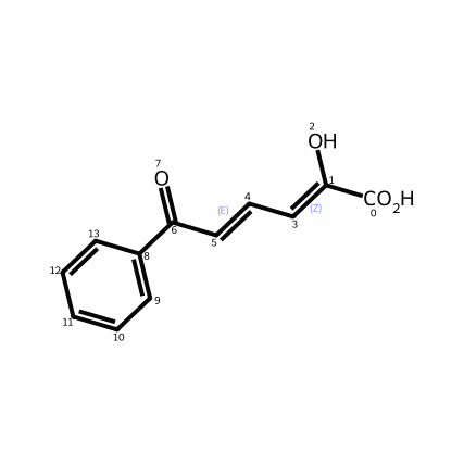 O=C(O)/C(O)=C/C=C/C(=O)c1ccccc1